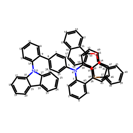 c1ccc(N(c2ccc(-c3ccccc3-n3c4ccccc4c4ccccc43)cc2)c2cccc3c2sc2ccccc23)c(-c2cccc3oc4c5ccccc5ccc4c23)c1